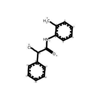 Cc1ccccc1NC(=O)C(Cl)c1ccccc1